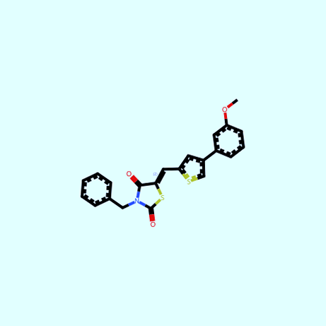 COc1cccc(-c2csc(/C=C3\SC(=O)N(Cc4ccccc4)C3=O)c2)c1